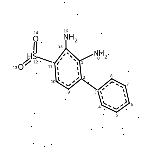 Nc1c(-c2ccccc2)ccc([SH](=O)=O)c1N